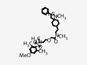 COc1cc(C)c(S(=O)(=O)N(C)CCOCC(=O)N(C)CCC2CCC(CCc3ccccc3)(N(C)C)CC2)c(C)c1